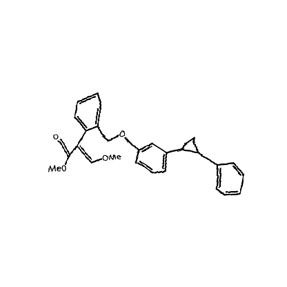 CO/C=C(/C(=O)OC)c1ccccc1COc1cccc(C2CC2c2ccccc2)c1